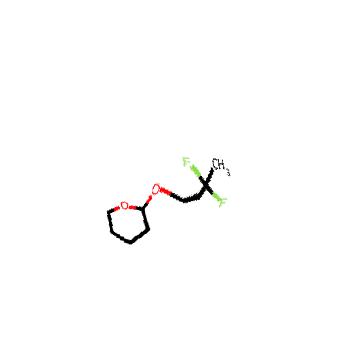 CC(F)(F)COC1CCCCO1